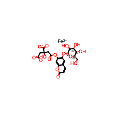 O=C([O-])CC(O)(CC(=O)Oc1cc2oc(=O)ccc2cc1O[C@@H]1O[C@H](CO)[C@@H](O)[C@H](O)[C@H]1O)C(=O)[O-].[Fe+2]